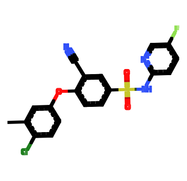 Cc1cc(Oc2ccc(S(=O)(=O)Nc3ccc(F)cn3)cc2C#N)ccc1Cl